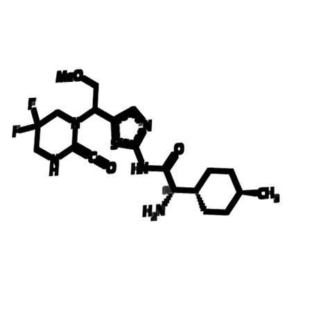 COCC(c1cnc(NC(=O)[C@@H](N)[C@H]2CC[C@H](C)CC2)s1)N1CC(F)(F)CNC1=C=O